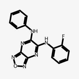 Fc1ccccc1Nc1nc2nonc2nc1Nc1ccccc1